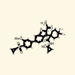 COc1cc(-c2ccc3c(C4(C(=O)NC5(C#N)CC5)CCC(F)(F)CC4)c(C(N)=O)oc3c2)ccc1S(=O)(=O)C1CC1